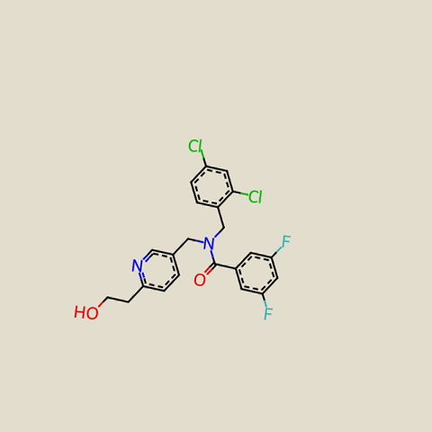 O=C(c1cc(F)cc(F)c1)N(Cc1ccc(CCO)nc1)Cc1ccc(Cl)cc1Cl